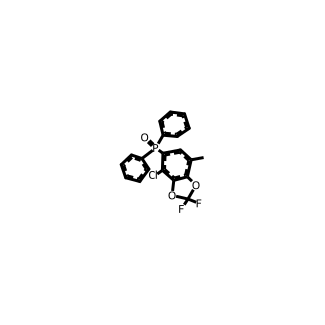 Cc1cc(P(=O)(c2ccccc2)c2ccccc2)c(Cl)c2c1OC(F)(F)O2